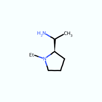 CCN1CCC[C@@H]1C(C)N